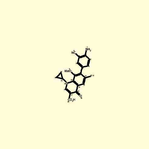 COc1c(-c2ccc(N)c(C#N)c2)c(F)cc2c(=O)c(C(=O)O)cn(C3CC3)c12